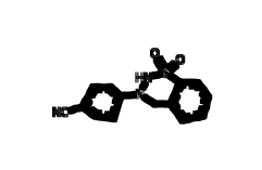 N#Cc1ccc(N2Cc3ccccc3S(=O)(=O)N2)cc1